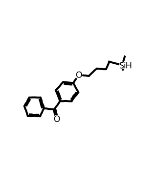 C[SiH](C)CCCCOc1ccc(C(=O)c2ccccc2)cc1